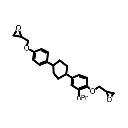 CCCc1cc(C2CCC(c3ccc(OCC4CO4)cc3)CC2)ccc1OCC1CO1